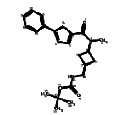 CN(C(=O)c1cnc(-c2ccccc2)s1)C1CC(CNC(=O)OC(C)(C)C)C1